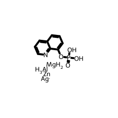 O=P(O)(O)Oc1cccc2cccnc12.[Ag].[AlH3].[MgH2].[Zn]